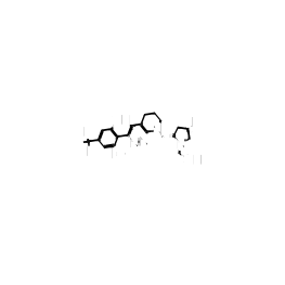 CCN1C[C@@H](F)C[C@H]1CN1CCCc2cc(-c3c(C)cc(C(F)(F)F)cc3O)nnc21